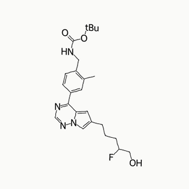 Cc1cc(-c2ncnn3cc(CCCC(F)CO)cc23)ccc1CNC(=O)OC(C)(C)C